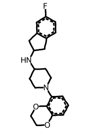 Fc1ccc2c(c1)CC(NC1CCN(c3cccc4c3OCCO4)CC1)C2